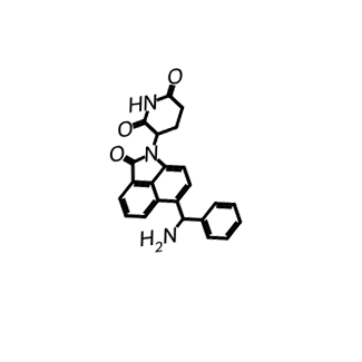 NC(c1ccccc1)c1ccc2c3c(cccc13)C(=O)N2C1CCC(=O)NC1=O